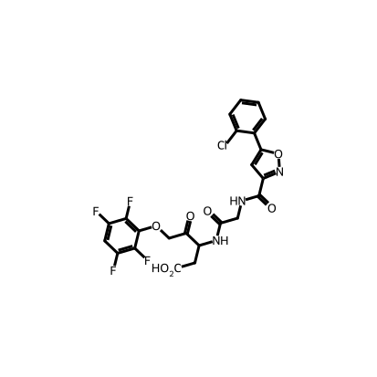 O=C(O)CC(NC(=O)CNC(=O)c1cc(-c2ccccc2Cl)on1)C(=O)COc1c(F)c(F)cc(F)c1F